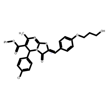 CC1=C(C(=O)OC(C)C)C(c2ccc(Cl)cc2)n2c(s/c(=C\c3ccc(OCCCO)cc3)c2=O)=N1